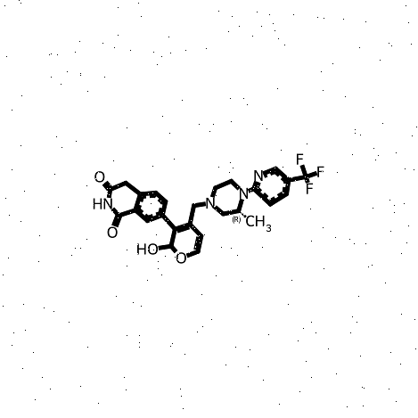 C[C@@H]1CN(CC2=C(c3ccc4c(c3)C(=O)NC(=O)C4)C(O)OC=C2)CCN1c1ccc(C(F)(F)F)cn1